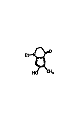 CCN1CCC(=O)c2cc(C)c(O)cc21